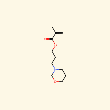 C=C(C)C(=O)OCCCN1CCCOC1